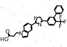 O=C(O)CCn1ccc2cc(C3=NCC(c4ccc(C(F)(F)F)c(-c5ccccc5)c4)=N3)ccc21